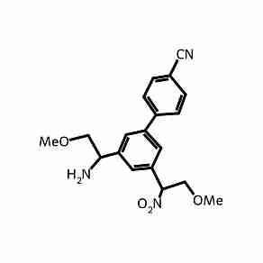 COCC(N)c1cc(-c2ccc(C#N)cc2)cc(C(COC)[N+](=O)[O-])c1